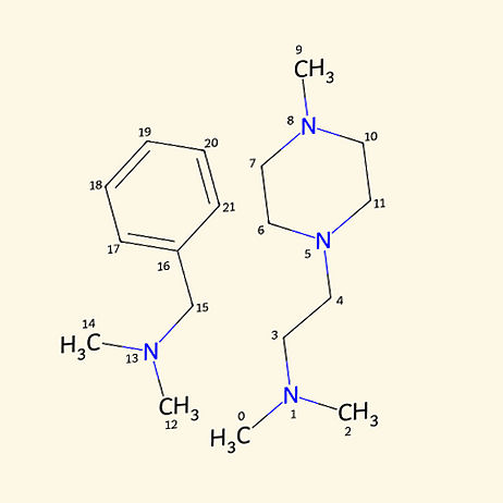 CN(C)CCN1CCN(C)CC1.CN(C)Cc1ccccc1